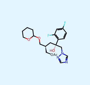 CC(=O)OC[C@@H](COC1CCCCO1)C[C@](O)(Cn1cncn1)c1ccc(F)cc1F